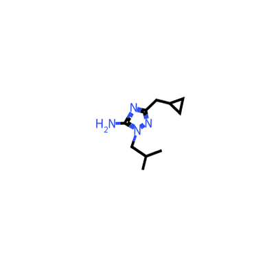 CC(C)Cn1nc(CC2CC2)nc1N